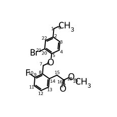 CCc1ccc(OCc2c(F)cccc2CC(=O)OC)c(Br)c1